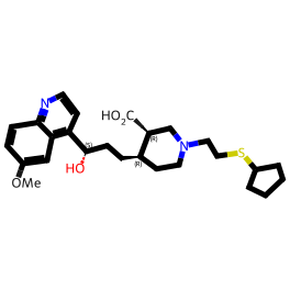 COc1ccc2nccc([C@@H](O)CC[C@@H]3CCN(CCSC4CCCC4)C[C@@H]3C(=O)O)c2c1